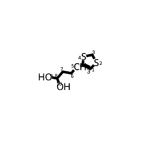 C1=CSCS1.CCCC(O)O